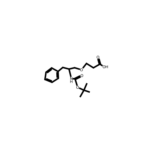 CC(C)(C)OC(=O)NC(COCCC(=O)O)Cc1ccccc1